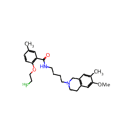 COc1cc2c(cc1C)CN(CCCCNC(=O)c1cc(C)ccc1OCC[18F])CC2